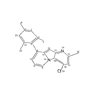 Cc1cc(C)c(-c2cccn3c2cc2nc(C)cc(Cl)c23)c(C)c1